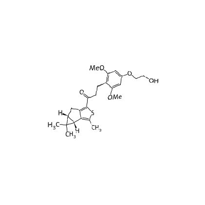 COc1cc(OCCO)cc(OC)c1CCC(=O)c1sc(C)c2c1C[C@@H]1[C@H]2C1(C)C